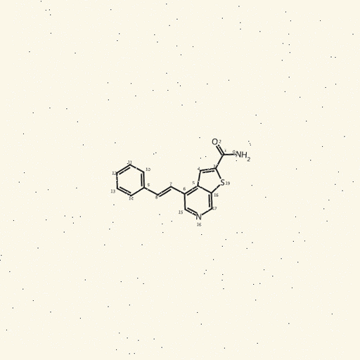 NC(=O)c1cc2c(C=Cc3ccccc3)cncc2s1